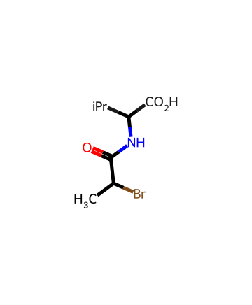 CC(Br)C(=O)NC(C(=O)O)C(C)C